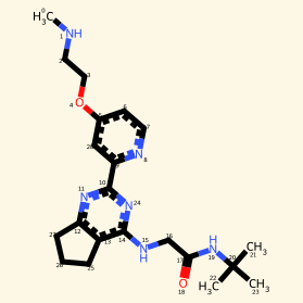 CNCCOc1ccnc(-c2nc3c(c(NCC(=O)NC(C)(C)C)n2)CCC3)c1